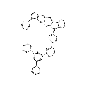 c1ccc(-c2nc(-c3ccccc3)nc(-c3cccc(-c4ccc(-n5c6ccccc6c6cc7cc8ccn(-c9ccccc9)c8cc7cc65)cc4)n3)n2)cc1